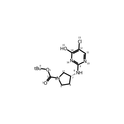 CC(C)(C)OC(=O)N1CC[C@@H](Nc2ncc(Cl)c(O)n2)C1